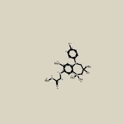 CCCCC1(CC)CN(c2ccc(F)cc2)c2cc(SC)c(OCC(=O)OC(C)(C)C)cc2S(O)(O)C1